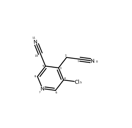 N#CCc1c(Cl)cncc1C#N